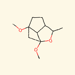 COC12CCC3C(C)OC(OC)(C1)C32